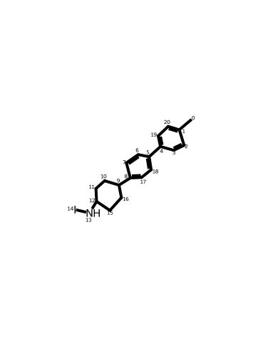 Cc1ccc(-c2ccc(C3CCC(NI)CC3)cc2)cc1